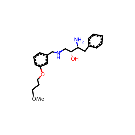 COCCCOc1cccc(CNC[C@@H](O)[C@@H](N)Cc2ccccc2)c1